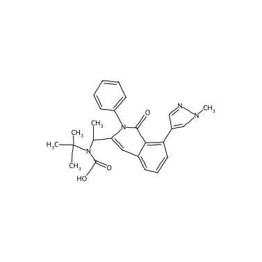 CC(c1cc2cccc(-c3cnn(C)c3)c2c(=O)n1-c1ccccc1)N(C(=O)O)C(C)(C)C